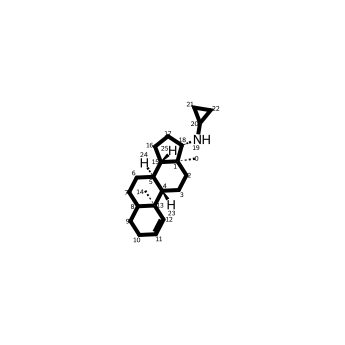 C[C@]12CC[C@H]3[C@@H](CCC4CCC=C[C@@]43C)[C@@H]1CC[C@@H]2NC1CC1